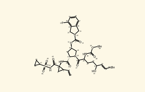 C=CC1C[C@]1(NC(=O)[C@@H]1C[C@@H](OC(=O)N2Cc3cccc(F)c3C2)CN1C(=O)C(CCC(O)/C=C/C(C)(C)C)NC(=O)OC(C)(C)C)C(=O)NS(=O)(=O)C1CC1